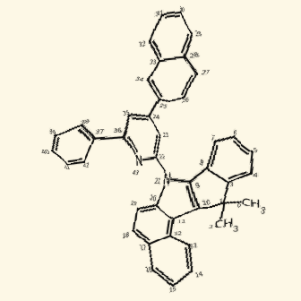 CC1(C)c2ccccc2-c2c1c1c3ccccc3ccc1n2-c1cc(-c2ccc3ccccc3c2)cc(-c2ccccc2)n1